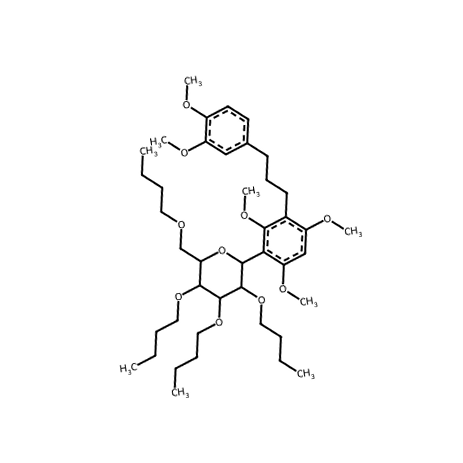 CCCCOCC1OC(c2c(OC)cc(OC)c(CCCc3ccc(OC)c(OC)c3)c2OC)C(OCCCC)C(OCCCC)C1OCCCC